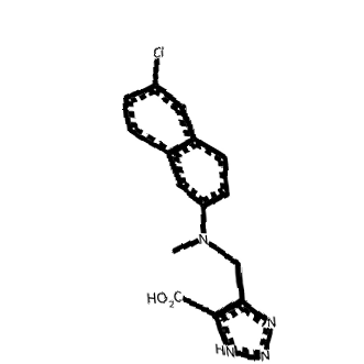 CN(Cc1nn[nH]c1C(=O)O)c1ccc2cc(Cl)ccc2c1